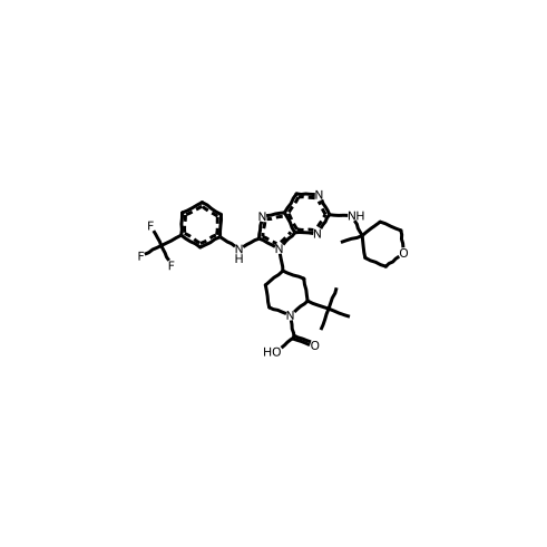 CC1(Nc2ncc3nc(Nc4cccc(C(F)(F)F)c4)n(C4CCN(C(=O)O)C(C(C)(C)C)C4)c3n2)CCOCC1